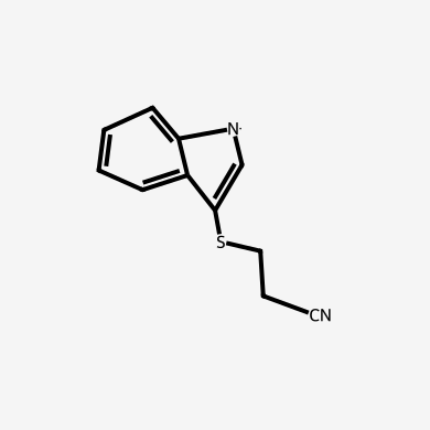 N#CCCSC1=C[N]c2ccccc21